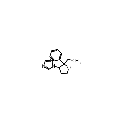 CCC1(c2ccccc2)OCCC1n1cncn1